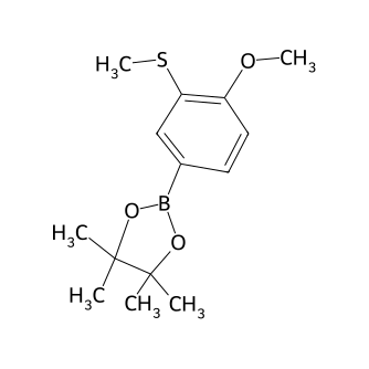 COc1ccc(B2OC(C)(C)C(C)(C)O2)cc1SC